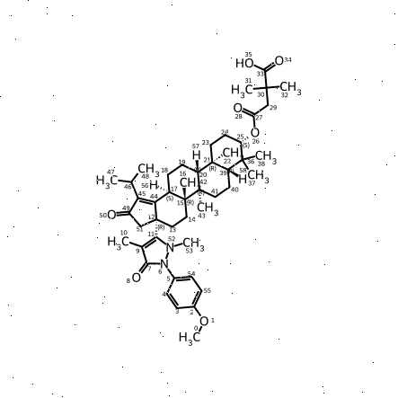 COc1ccc(-n2c(=O)c(C)c([C@@]34CC[C@]5(C)[C@H](CC[C@@H]6[C@@]7(C)CC[C@H](OC(=O)CC(C)(C)C(=O)O)C(C)(C)[C@@H]7CC[C@]65C)C3=C(C(C)C)C(=O)C4)n2C)cc1